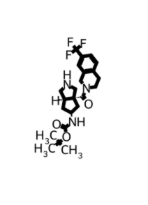 CC(C)(C)OC(=O)N[C@@H]1C[C@H]2CNC[C@@]2(C(=O)N2CCc3ccc(C(F)(F)F)cc3C2)C1